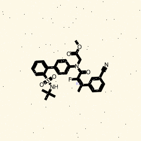 COC(=O)CN(C(=O)/C(F)=C(/C)c1cccc(C#N)c1)c1ccc(-c2ccccc2S(=O)(=O)NC(C)(C)C)cc1